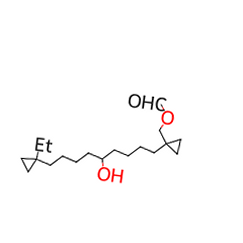 CCC1(CCCCC(O)CCCCC2(COC=O)CC2)CC1